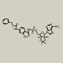 CC1(C)O[C@@H]2[C@H](O1)[C@@H](COS(=O)(=O)NC(=O)c1ccc(NC(=O)OCc3ccccc3)cc1O)O[C@H]2n1cnc2c(N)ncnc21